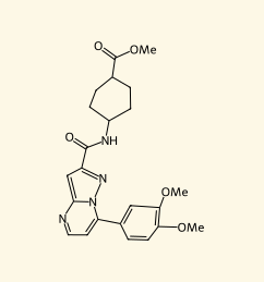 COC(=O)C1CCC(NC(=O)c2cc3nccc(-c4ccc(OC)c(OC)c4)n3n2)CC1